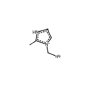 CCCC[n+]1cc[nH]c1C